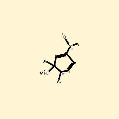 COC1(Br)C=C([S+](C)[O-])C=CC1C(C)=O